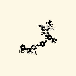 Cc1ncsc1-c1ccc(CNC(=O)[C@@H]2C[C@@H](O)CN2C(=O)[C@@H](NC(=O)C2(F)CC2)C(C)(C)C)c(OCc2ccc(CCN3CCN(c4cc(-c5ccccc5O)nnc4N)CC3)cc2)c1